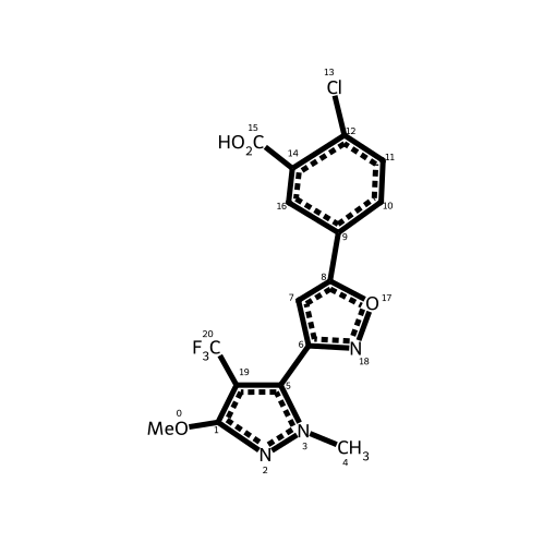 COc1nn(C)c(-c2cc(-c3ccc(Cl)c(C(=O)O)c3)on2)c1C(F)(F)F